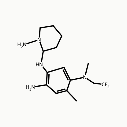 Cc1cc(N)c(NC2CCCCN2N)cc1N(C)CC(F)(F)F